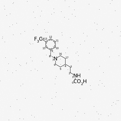 O=C(O)NCCC1CCN(Cc2cccc(C(F)(F)F)c2)CC1